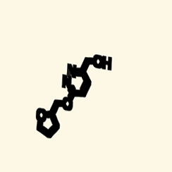 OCc1ccc(OCC2CCCO2)nn1